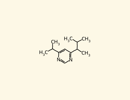 CC(C)c1cc(C(C)C(C)C)ncn1